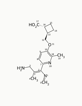 C=N/C(=C(\C)CN)c1ccc(OC[C@@H]2CC[C@H]2C(=O)O)c(C)n1